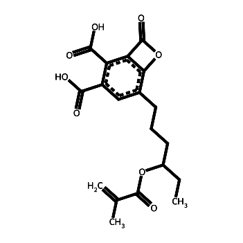 C=C(C)C(=O)OC(CC)CCCc1cc(C(=O)O)c(C(=O)O)c2c1OC2=O